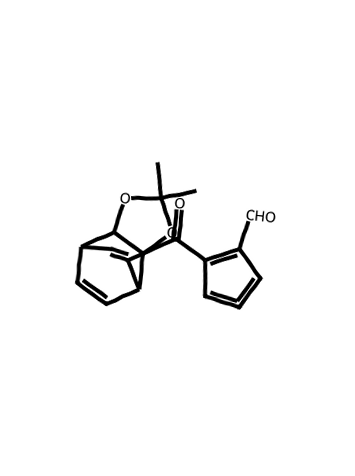 CC1(C)OC2C3C=CC(C(C(=O)C4=C(C=O)C=C=C4)=C3)C2O1